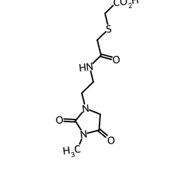 CN1C(=O)CN(CCNC(=O)CSCC(=O)O)C1=O